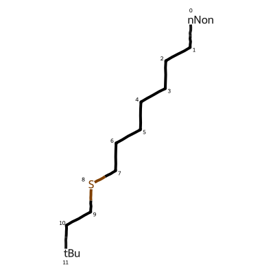 CCCCCCCCCCCCCCCCSCCC(C)(C)C